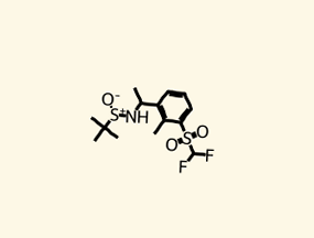 Cc1c(C(C)N[S@@+]([O-])C(C)(C)C)cccc1S(=O)(=O)C(F)F